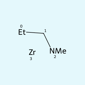 CCCNC.[Zr]